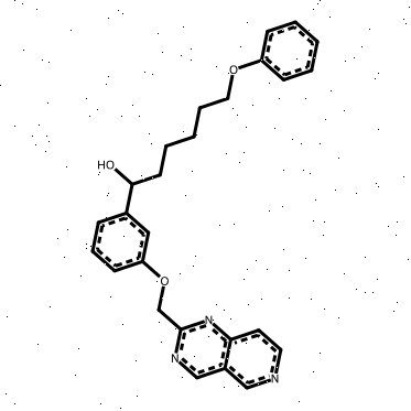 OC(CCCCCOc1ccccc1)c1cccc(OCc2ncc3cnccc3n2)c1